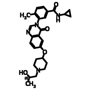 Cc1ccc(C(=O)NC2CC2)cc1-n1cnc2ccc(OC3CCN(C[C@@H](C)O)CC3)cc2c1=O